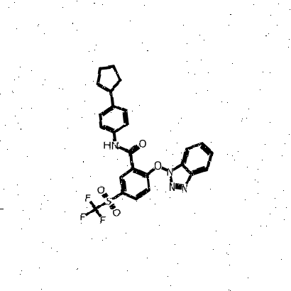 O=C(Nc1ccc(C2CCCC2)cc1)c1cc(S(=O)(=O)C(F)(F)F)ccc1On1nnc2ccccc21